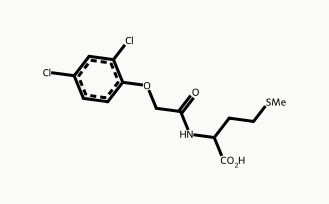 CSCCC(NC(=O)COc1ccc(Cl)cc1Cl)C(=O)O